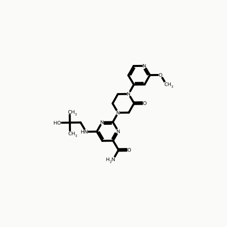 COc1cc(N2CCN(c3nc(NCC(C)(C)O)cc(C(N)=O)n3)CC2=O)ccn1